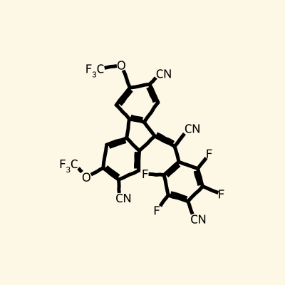 N#CC(=C1c2cc(C#N)c(OC(F)(F)F)cc2-c2cc(OC(F)(F)F)c(C#N)cc21)c1c(F)c(F)c(C#N)c(F)c1F